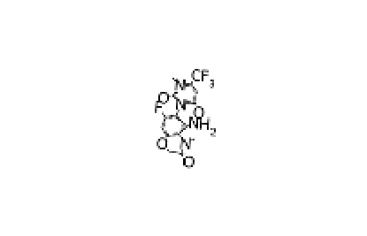 CN1C(=O)COc2cc(F)c(-n3c(=O)cc(C(F)(F)F)n(C)c3=O)c(N)c21